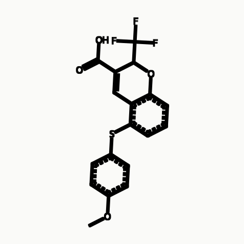 COc1ccc(Sc2cccc3c2C=C(C(=O)O)C(C(F)(F)F)O3)cc1